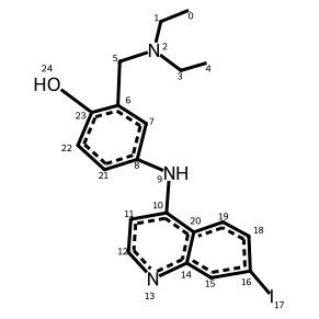 CCN(CC)Cc1cc(Nc2ccnc3cc(I)ccc23)ccc1O